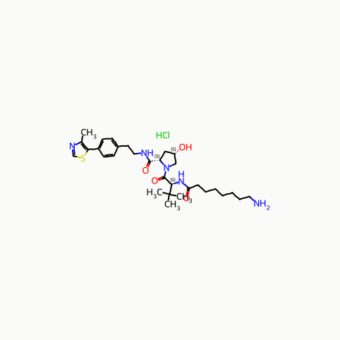 Cc1ncsc1-c1ccc(CCNC(=O)[C@@H]2C[C@H](O)CN2C(=O)[C@@H](NC(=O)CCCCCCCN)C(C)(C)C)cc1.Cl